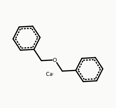 [Ca].c1ccc(COCc2ccccc2)cc1